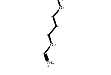 C=COCCCOC